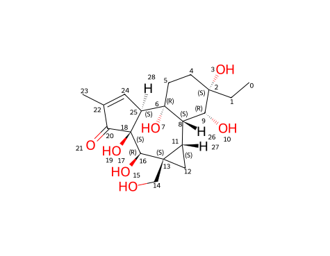 CC[C@]1(O)CC[C@@]2(O)[C@H]([C@H]1O)[C@@H]1C[C@]1(CO)[C@@H](O)[C@]1(O)C(=O)C(C)=C[C@@H]21